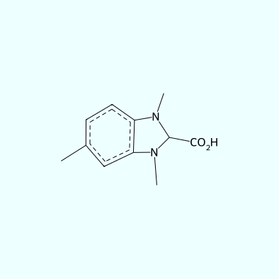 Cc1ccc2c(c1)N(C)C(C(=O)O)N2C